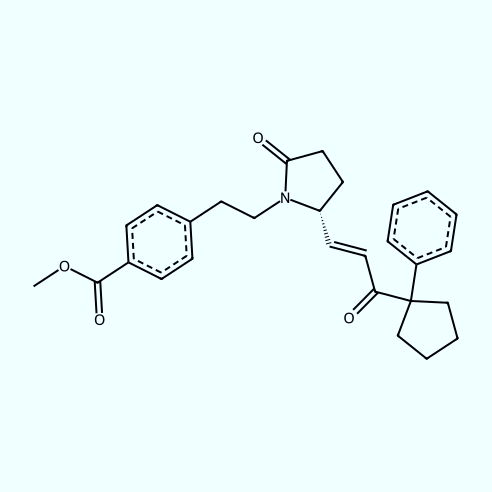 COC(=O)c1ccc(CCN2C(=O)CC[C@@H]2/C=C/C(=O)C2(c3ccccc3)CCCC2)cc1